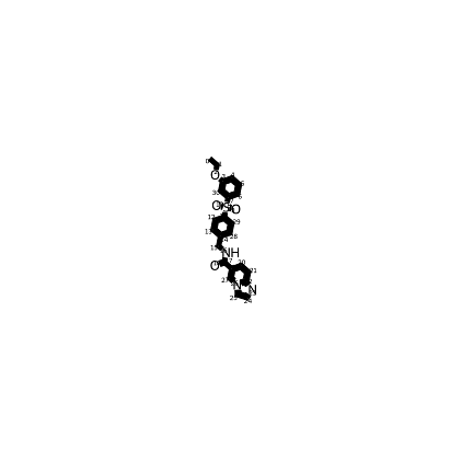 CCOc1cccc(S(=O)(=O)c2ccc(CNC(=O)c3ccc4nccn4c3)cc2)c1